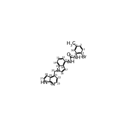 Cc1ccc(Br)c(NC(=O)Nc2cccc3c2ccn3Cc2ccnc3[nH]ccc23)c1